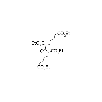 CCOC(=O)CCCCC(C(=O)OCC)C(=O)C(CCCCC(=O)OCC)C(=O)OCC